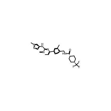 C=N/C(=N\C(=C/C)c1ccc(CNC(=O)[C@H]2CC[C@H](C(F)(F)F)CC2)c(C)c1)Nc1cnn(C)c1